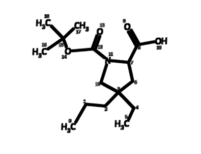 CCCC1(CC)CC(C(=O)O)N(C(=O)OC(C)(C)C)C1